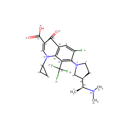 C[C@@H]([C@@H]1CCN(c2c(F)cc3c(=O)c(C(=O)O)cn(C4CC4)c3c2C(F)(F)F)C1)N(C)C